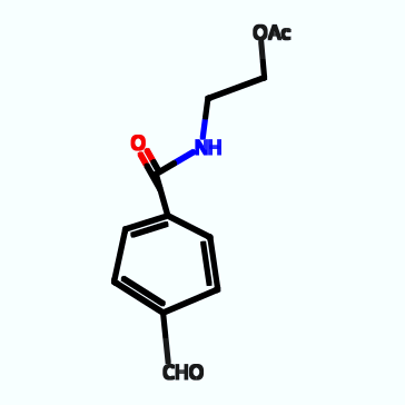 CC(=O)OCCNC(=O)c1ccc(C=O)cc1